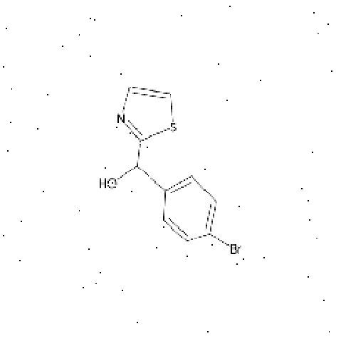 OC(c1ccc(Br)cc1)c1nccs1